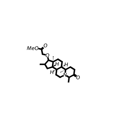 COC(=O)COC1C(C)C[C@H]2[C@@H]3CCN4C(C)C(=O)CC[C@]4(C)[C@@H]3CC[C@]12C